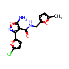 Cc1ccc(CNC(=O)c2c(-c3ccc(Cl)o3)noc2N)o1